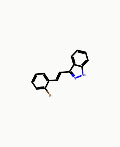 Brc1ccccc1C=Cc1n[nH]c2ccccc12